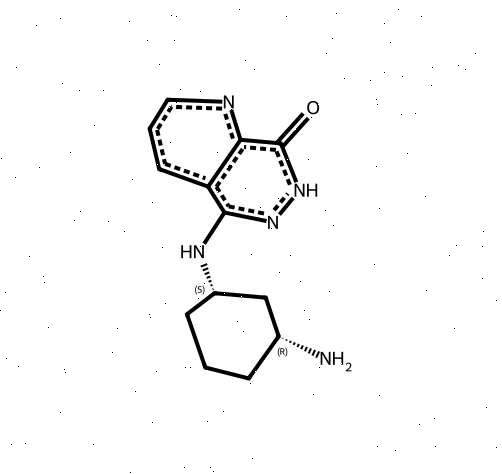 N[C@@H]1CCC[C@H](Nc2n[nH]c(=O)c3ncccc23)C1